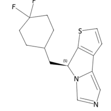 FC1(F)CCC(C[C@H]2c3sccc3-c3cncn32)CC1